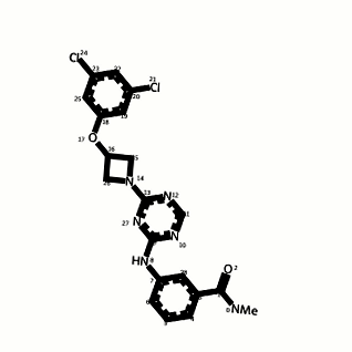 CNC(=O)c1cccc(Nc2ncnc(N3CC(Oc4cc(Cl)cc(Cl)c4)C3)n2)c1